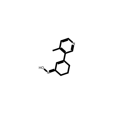 Cc1ccncc1C1=CC(=NO)CCC1